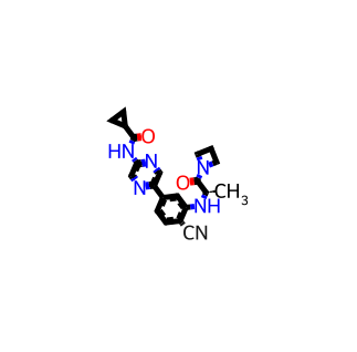 C[C@H](Nc1cc(-c2cnc(NC(=O)C3CC3)cn2)ccc1C#N)C(=O)N1CCC1